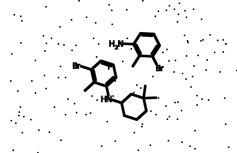 Cc1c(Br)cccc1NC1CCCC(C)(C)C1.Cc1c(N)cccc1Br